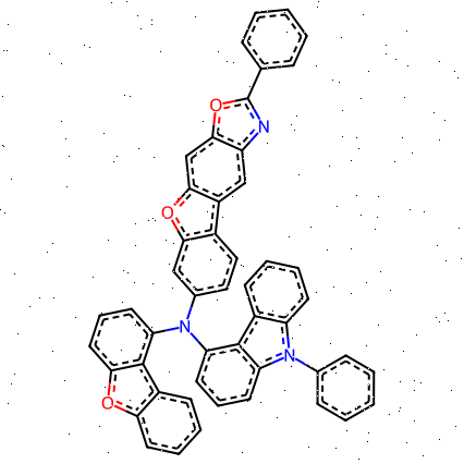 c1ccc(-c2nc3cc4c(cc3o2)oc2cc(N(c3cccc5oc6ccccc6c35)c3cccc5c3c3ccccc3n5-c3ccccc3)ccc24)cc1